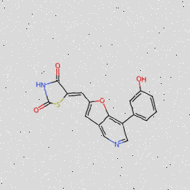 O=C1NC(=O)/C(=C/c2cc3cncc(-c4cccc(O)c4)c3o2)S1